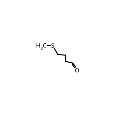 CSCCC[C]=O